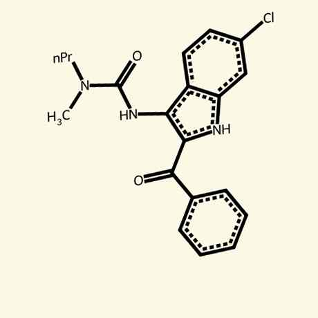 CCCN(C)C(=O)Nc1c(C(=O)c2ccccc2)[nH]c2cc(Cl)ccc12